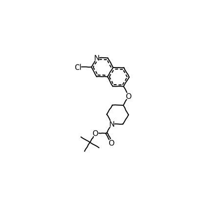 CC(C)(C)OC(=O)N1CCC(Oc2ccc3cnc(Cl)cc3c2)CC1